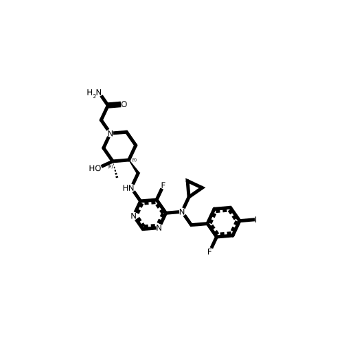 C[C@]1(O)CN(CC(N)=O)CC[C@H]1CNc1ncnc(N(Cc2ccc(I)cc2F)C2CC2)c1F